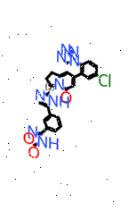 O=c1[nH]c(-c2cccc(-c3cnc([C@@H]4CCc5cc(-c6cc(Cl)ccc6-n6cnnn6)cc(=O)n54)[nH]3)c2)no1